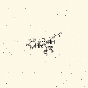 CCCCCNC(=O)C(NCc1ccccc1)C(OC)OC